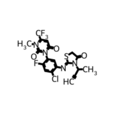 C#CC(C)N1C(=O)CS/C1=N\c1cc(-n2c(=O)cc(C(F)(F)F)n(C)c2=O)c(F)cc1Cl